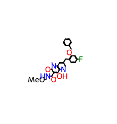 COCNC(=O)c1c(O)c2ncc(Cc3ccc(F)cc3OCc3ccccc3)cc2n(C)c1=O